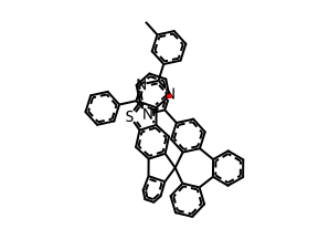 Cc1cccc(-c2nc(-c3ccccc3)nc(-c3ccc4c(c3)C3(c5ccccc5-c5ccccc5-4)c4ccccc4-c4cc5sc6ccccc6c5cc43)n2)c1